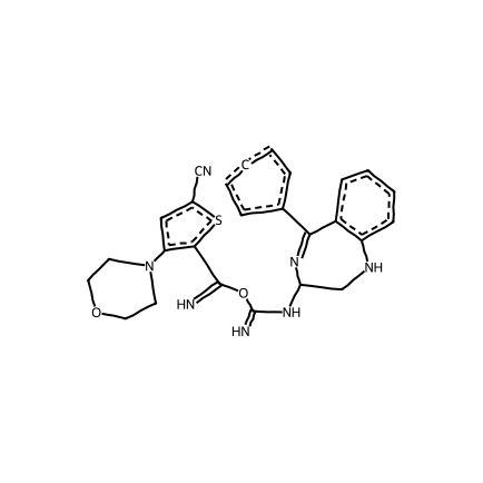 N#Cc1cc(N2CCOCC2)c(C(=N)OC(=N)NC2CNc3ccccc3C(c3ccccc3)=N2)s1